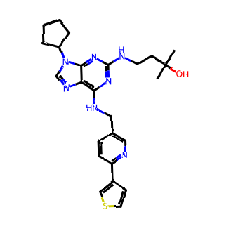 CC(C)(O)CCNc1nc(NCc2ccc(-c3ccsc3)nc2)c2ncn(C3CCCC3)c2n1